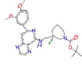 COc1ccc(-c2cc3nccnc3c(NC[C@]3(F)CCCN(C(=O)OC(C)(C)C)C3)n2)cc1OC